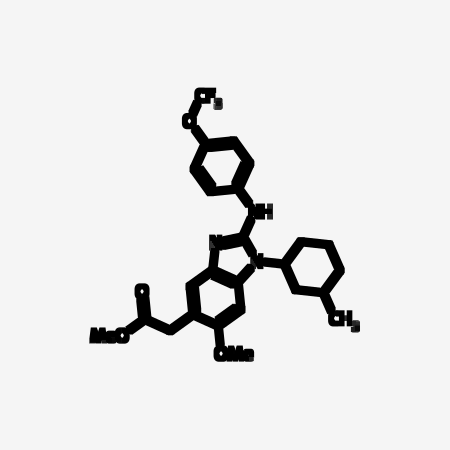 COC(=O)Cc1cc2nc(Nc3ccc(OC(F)(F)F)cc3)n(C3CCCC(C)C3)c2cc1OC